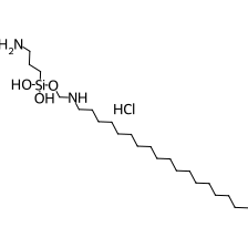 CCCCCCCCCCCCCCCCCCNCO[Si](O)(O)CCCN.Cl